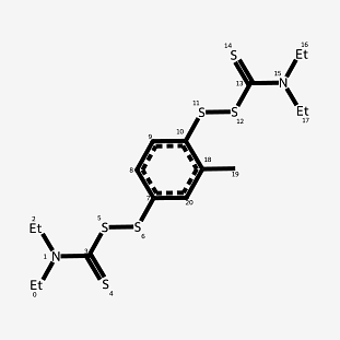 CCN(CC)C(=S)SSc1ccc(SSC(=S)N(CC)CC)c(C)c1